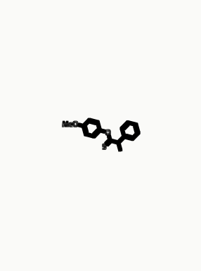 COc1ccc(OC(=S)C(C)c2ccccc2)cc1